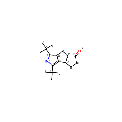 CC(C)(C)c1[nH]c(C(C)(C)C)c2c1CC1C(=O)CCC21